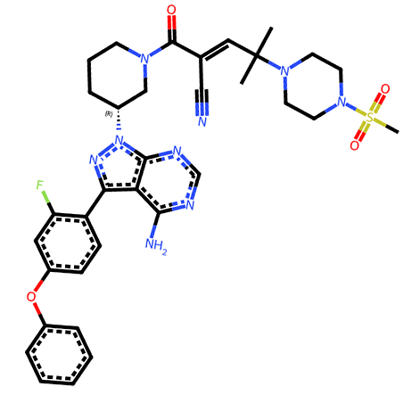 CC(C)(C=C(C#N)C(=O)N1CCC[C@@H](n2nc(-c3ccc(Oc4ccccc4)cc3F)c3c(N)ncnc32)C1)N1CCN(S(C)(=O)=O)CC1